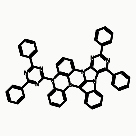 c1ccc(-c2nc(-c3ccccc3)nc(N3c4ccccc4B4c5c3cccc5-n3c5nc(-c6ccccc6)nc(-c6ccccc6)c5n5c6ccccc6c4c35)n2)cc1